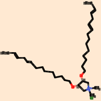 CCCCCC=CCC=CCCCCCCCCO[C@H]1C[N+](C)(C)C[C@H]1OCCCCCCCCC=CCC=CCCCCC.[Cl-]